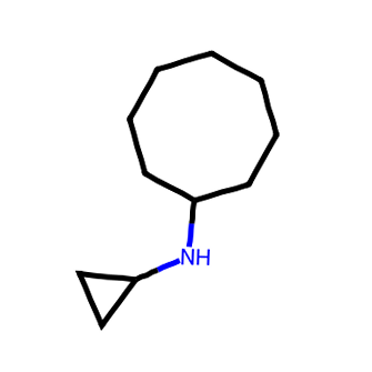 C1CCCC(NC2CC2)CCC1